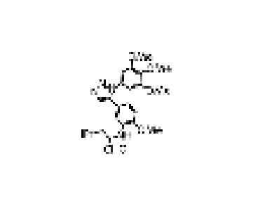 COc1ccc(-c2cnnn2-c2cc(OC)c(OC)c(OC)c2)cc1NC(C=O)CC(C)C